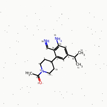 CC(=O)N1CCC(c2cc(C(C)C)cc(N)c2C=N)CC1